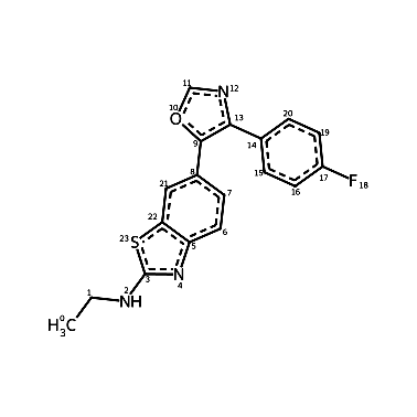 CCNc1nc2ccc(-c3ocnc3-c3ccc(F)cc3)cc2s1